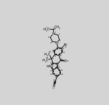 CC(C)N1CCN(c2cc3c(cc2Br)C(=O)c2c([nH]c4cc(C#N)ccc24)C3(C)C)CC1